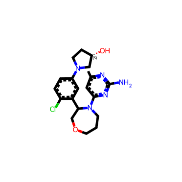 Cc1cc(N2CCCOCC2c2cc(N3CC[C@H](O)C3)ccc2Cl)nc(N)n1